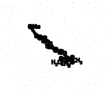 C=C(C)C(=O)OCC(C)(CCOc1ccc(-c2ccc(/C=C/C(=O)Oc3ccc(OC(=O)c4ccc(OCCCCCCOC)cc4)cc3C)cc2)cc1)COC(=O)C(=C)C